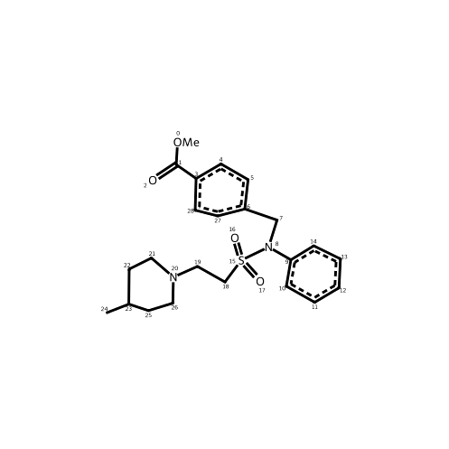 COC(=O)c1ccc(CN(c2ccccc2)S(=O)(=O)CCN2CCC(C)CC2)cc1